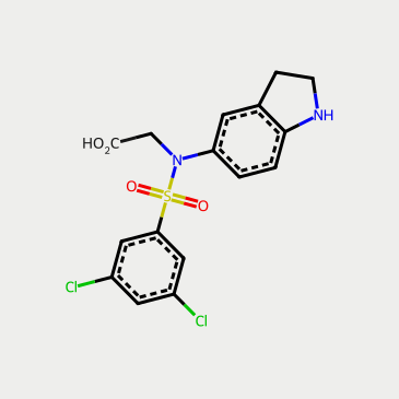 O=C(O)CN(c1ccc2c(c1)CCN2)S(=O)(=O)c1cc(Cl)cc(Cl)c1